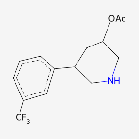 CC(=O)OC1CNCC(c2cccc(C(F)(F)F)c2)C1